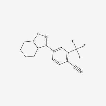 N#Cc1ccc(C2=NOC3CCCCC23)cc1C(F)(F)F